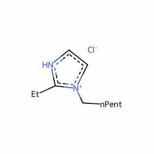 CCCCCC[n+]1cc[nH]c1CC.[Cl-]